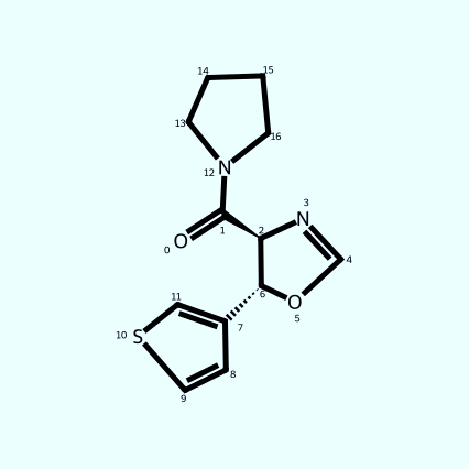 O=C([C@H]1N=CO[C@@H]1c1ccsc1)N1CCCC1